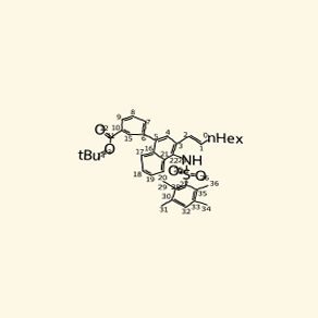 CCCCCCC=Cc1cc(-c2cccc(C(=O)OC(C)(C)C)c2)c2ccccc2c1NS(=O)(=O)c1c(C)c(C)cc(C)c1C